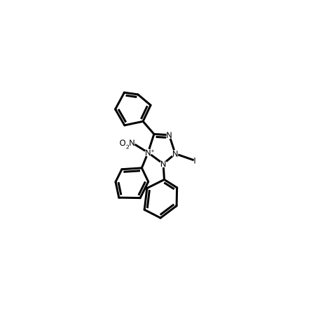 O=[N+]([O-])[N+]1(c2ccccc2)C(c2ccccc2)=NN(I)N1c1ccccc1